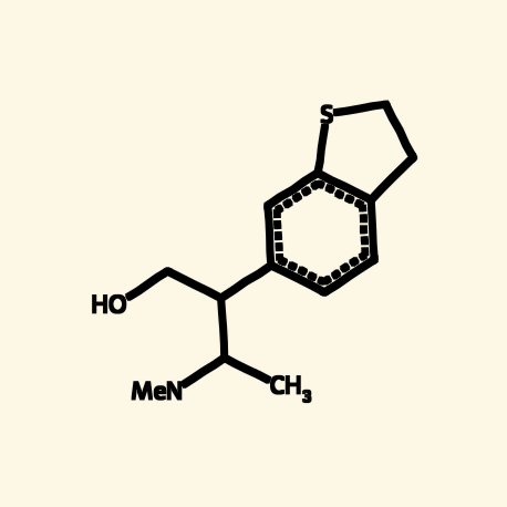 CNC(C)C(CO)c1ccc2c(c1)SCC2